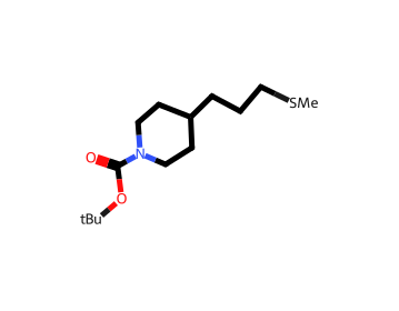 CSCCCC1CCN(C(=O)OC(C)(C)C)CC1